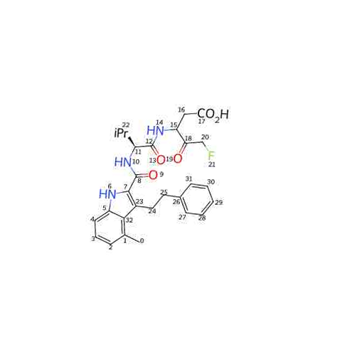 Cc1cccc2[nH]c(C(=O)N[C@H](C(=O)NC(CC(=O)O)C(=O)CF)C(C)C)c(CCc3ccccc3)c12